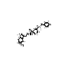 O=C(NCCc1c[nH]c2ccc(Cl)cc12)c1cccc(CNCc2ccccc2)c1